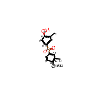 Cc1cc(S(=O)(=O)c2ccc(OCC(C)C)c(C)c2)ccc1O